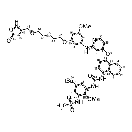 COc1cc(Nc2cc(Oc3ccc(NC(=O)Nc4cc(C(C)(C)C)cc(NS(C)(=O)=O)c4OC)c4ccccc34)ccn2)cc(OCCOCCOCc2cc(=O)o[nH]2)c1